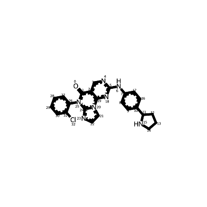 O=c1c2cnc(Nc3ccc(C4CCCN4)cc3)nc2n2ccnc2n1-c1ccccc1Cl